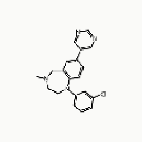 CN1CCN(c2cccc(Cl)c2)c2ccc(-c3cncnc3)cc2C1